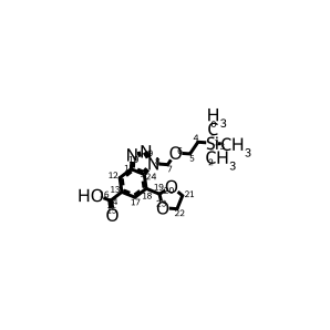 C[Si](C)(C)CCOCn1nnc2cc(C(=O)O)cc(C3OCCO3)c21